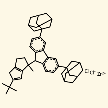 CC(C)(C)C1=CC2=C(CCC2(C)C2c3ccc(C45CC6CC(CC(C6)C4)C5)cc3-c3cc(C45CC6CC(CC(C6)C4)C5)ccc32)C1.[Cl-].[Cl-].[Zr+2]